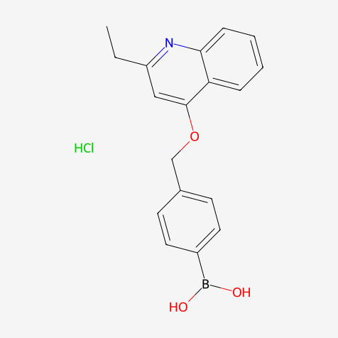 CCc1cc(OCc2ccc(B(O)O)cc2)c2ccccc2n1.Cl